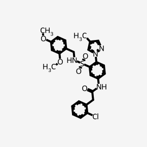 COc1ccc(CNS(=O)(=O)c2cc(NC(=O)Cc3ccccc3Cl)ccc2-n2cc(C)cn2)c(OC)c1